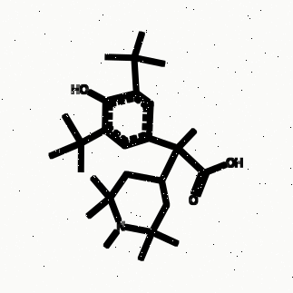 CN1C(C)(C)CC(C(C)(C(=O)O)c2cc(C(C)(C)C)c(O)c(C(C)(C)C)c2)CC1(C)C